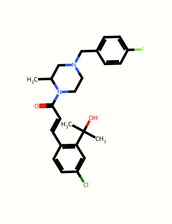 CC1CN(Cc2ccc(F)cc2)CCN1C(=O)/C=C/c1ccc(Cl)cc1C(C)(C)O